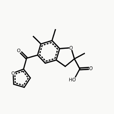 Cc1c(C(=O)c2ccco2)cc2c(c1C)OC(C)(C(=O)O)C2